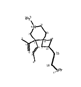 C=C(C)C1(/C=C/C)CN(C(C)C)CCC12CC(CCC(C)C)C2